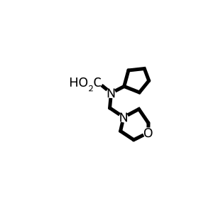 O=C(O)N(CN1CCOCC1)C1CCCC1